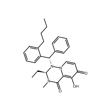 CCCCc1ccccc1[C@H](c1ccccc1)N1[C@H](CC)N(C)C(=O)c2c(O)c(=O)ccn21